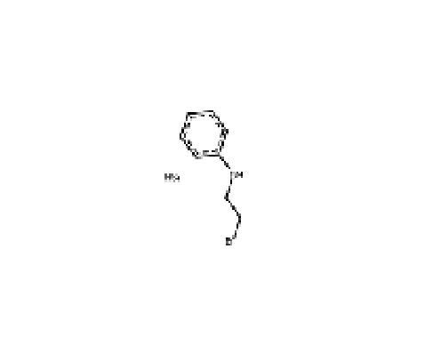 Br.BrCCNc1ccccc1